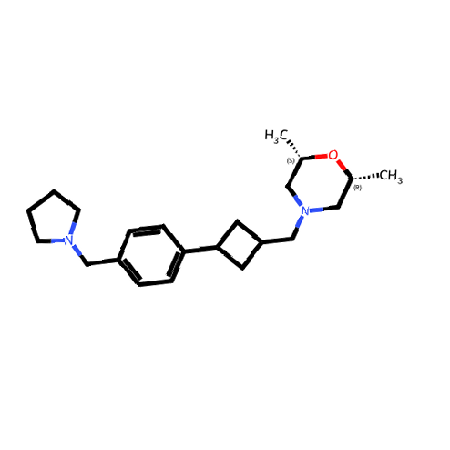 C[C@@H]1CN(CC2CC(c3ccc(CN4CCCC4)cc3)C2)C[C@H](C)O1